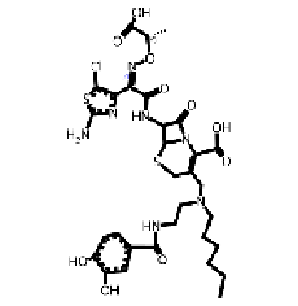 CCCCCCN(CCNC(=O)c1ccc(O)c(O)c1)CC1=C(C(=O)O)N2C(=O)C(NC(=O)/C(=N\O[C@@H](C)C(=O)O)c3nc(N)sc3Cl)C2SC1